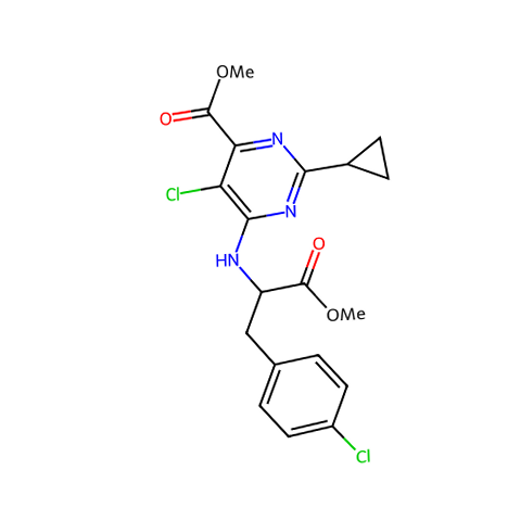 COC(=O)c1nc(C2CC2)nc(NC(Cc2ccc(Cl)cc2)C(=O)OC)c1Cl